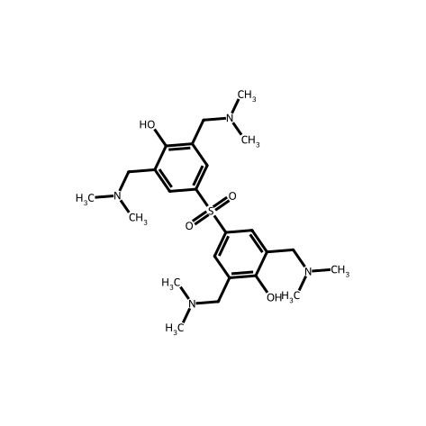 CN(C)Cc1cc(S(=O)(=O)c2cc(CN(C)C)c(O)c(CN(C)C)c2)cc(CN(C)C)c1O